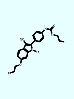 CCn1c(-c2ccc(NC(=O)OCCF)cc2)c(C#N)c2ccc(OCCF)cc21